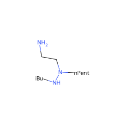 CCCCCN(CCN)NC(C)CC